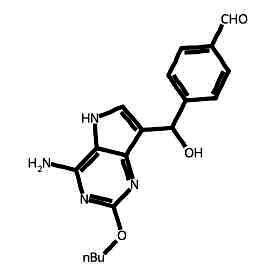 CCCCOc1nc(N)c2[nH]cc(C(O)c3ccc(C=O)cc3)c2n1